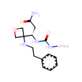 CCCCCCNC(=O)N[C@H](CC(N)=O)C1(NCCc2ccccc2)COC1